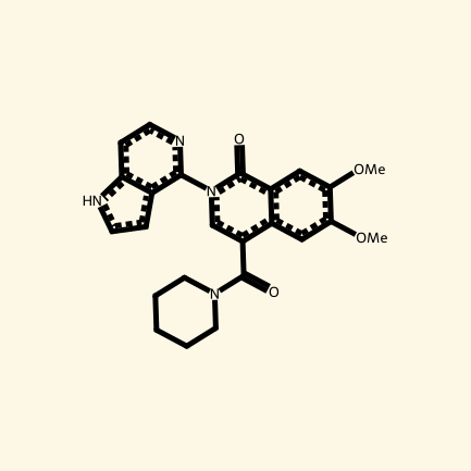 COc1cc2c(C(=O)N3CCCCC3)cn(-c3nccc4[nH]ccc34)c(=O)c2cc1OC